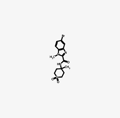 Cn1c(C(=O)NC2(C)CCS(=O)(=O)CC2)nc2cc(Br)ccc21